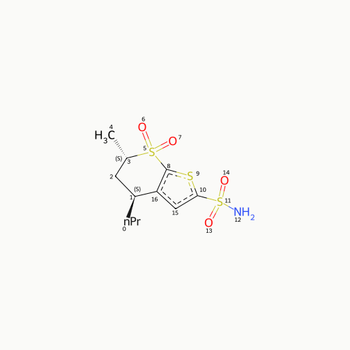 CCC[C@H]1C[C@H](C)S(=O)(=O)c2sc(S(N)(=O)=O)cc21